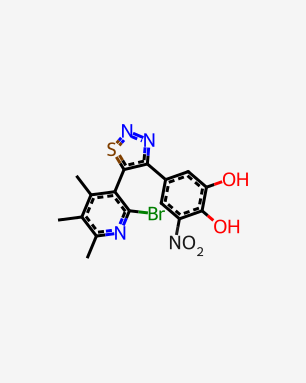 Cc1nc(Br)c(-c2snnc2-c2cc(O)c(O)c([N+](=O)[O-])c2)c(C)c1C